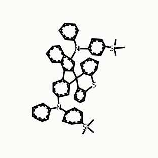 C[Si](C)(C)c1ccc(N(c2ccccc2)c2ccc3c(c2)C2(c4ccccc4Sc4ccccc42)c2cc(N(c4ccccc4)c4ccc([Si](C)(C)C)cc4)c4ccccc4c2-3)cc1